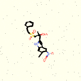 Cc1cc2[nH]c(C(C)(O)CS(=O)(=O)Cc3ccccc3)cc2cc1[N+](=O)[O-]